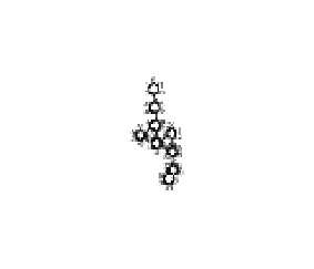 c1ccc(-c2ccc(-c3ccc(-c4ccccc4-c4ccccc4-c4ccc(-c5ccc6ccccc6c5)cc4)c(-c4ccccc4)c3)cc2)cc1